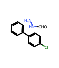 Clc1ccc(-c2ccccc2)cc1.NNC=O